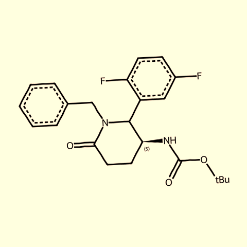 CC(C)(C)OC(=O)N[C@H]1CCC(=O)N(Cc2ccccc2)C1c1cc(F)ccc1F